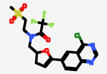 CS(=O)(=O)CCN(CC1CC=C(c2ccc3ncnc(Cl)c3c2)O1)C(=O)C(F)(F)F